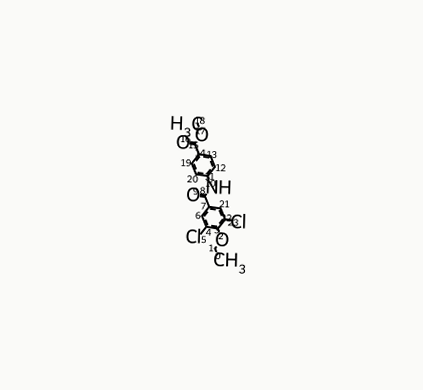 CCOc1c(Cl)cc(C(=O)Nc2ccc(C(=O)OC)cc2)cc1Cl